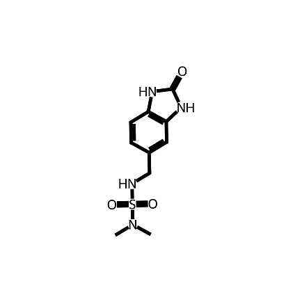 CN(C)S(=O)(=O)NCc1ccc2[nH]c(=O)[nH]c2c1